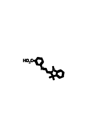 CN1/C(=C\C=N\c2cccc(C(=O)O)c2)C(C)(C)c2ccccc21